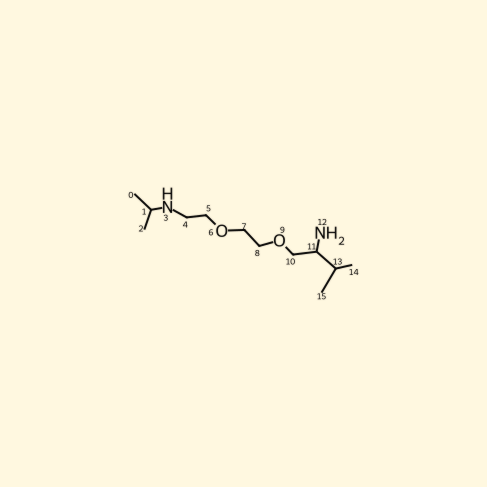 CC(C)NCCOCCOCC(N)C(C)C